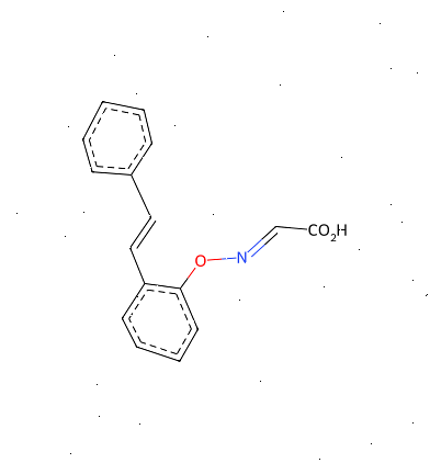 O=C(O)/C=N/Oc1ccccc1C=Cc1ccccc1